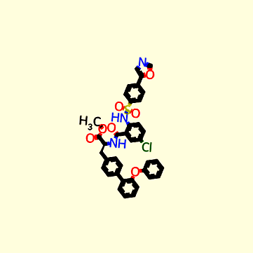 COC(=O)[C@H](Cc1ccc(-c2ccccc2Oc2ccccc2)cc1)NC(=O)c1cc(Cl)ccc1NS(=O)(=O)c1ccc(-c2cnco2)cc1